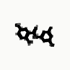 Cc1cc(Br)cc(NC(=O)c2cc(Cl)ccc2O)c1